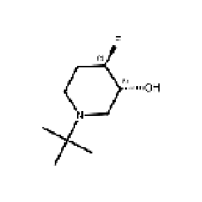 CC(C)(C)N1CC[C@@H](F)[C@H](O)C1